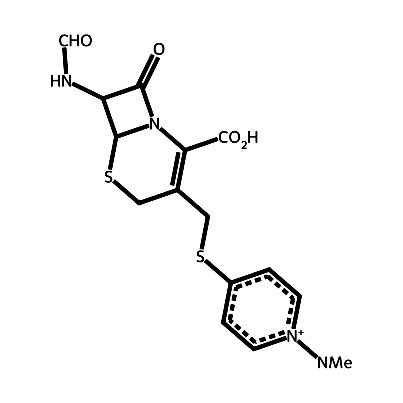 CN[n+]1ccc(SCC2=C(C(=O)O)N3C(=O)C(NC=O)C3SC2)cc1